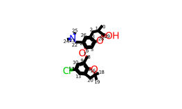 CC(Cc1ccc(OCc2cc(Cl)cc3c2OC(C)(C)C3)c(CN(C)C)c1)C(=O)O